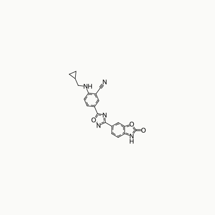 N#Cc1cc(-c2nc(-c3ccc4[nH]c(=O)oc4c3)no2)ccc1NCC1CC1